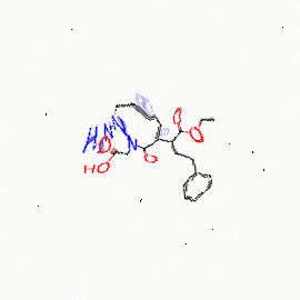 CCOC(=O)C(CCc1ccccc1)/C1=C/C=C\CN(N)N(CC(=O)O)C1=O